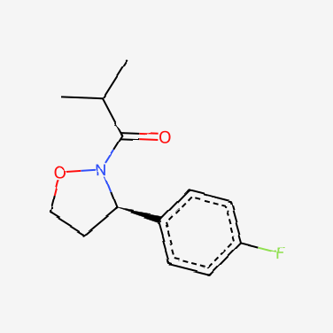 CC(C)C(=O)N1OCC[C@@H]1c1ccc(F)cc1